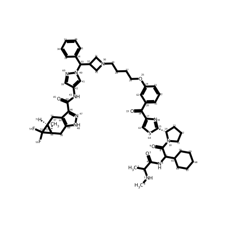 CNC(C)C(=O)NC(C(=O)N1CCC[C@H]1c1nc(C(=O)c2cccc(OCCCCN3CC(C(c4ccccc4)n4cc(NC(=O)c5n[nH]c6c5C[C@@H]5C(F)(F)[C@]5(C)C6)cn4)C3)c2)cs1)C1CCCCC1